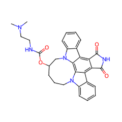 CN(C)CCNC(=O)OC1CCCn2c3ccccc3c3c4c(c5c6ccccc6n(c5c32)C1)C(=O)NC4=O